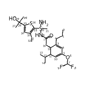 CCCC1=CC(OC(F)F)=CC(C(C)C)C1CC(=O)NS(C)(N)c1sc(C(C)(C)O)cc1F